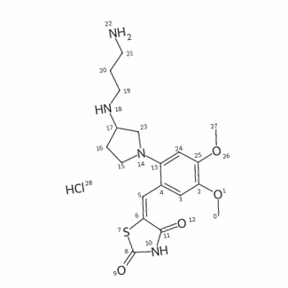 COc1cc(C=C2SC(=O)NC2=O)c(N2CCC(NCCCN)C2)cc1OC.Cl